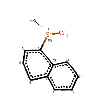 C[S@+]([O-])c1cccc2ccccc12